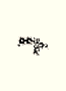 CO[C@@H]1C[C@H](c2nc(-c3ccc(-c4cccc(F)c4)cn3)no2)N(C(=O)OC(C)(C)C)C1